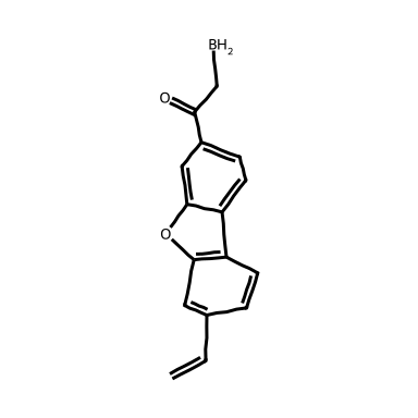 BCC(=O)c1ccc2c(c1)oc1cc(C=C)ccc12